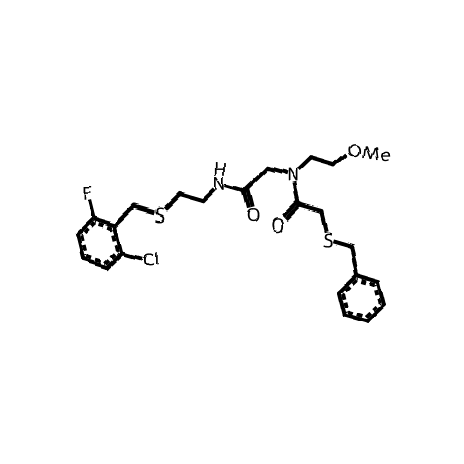 COCCN(CC(=O)NCCSCc1c(F)cccc1Cl)C(=O)CSCc1ccccc1